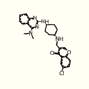 CN(C)c1nc(N[C@H]2CC[C@@H](NCc3coc4ccc(Cl)cc4c3=O)CC2)nc2ccccc12